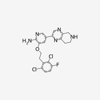 Nc1ncc(-c2cnc3c(n2)CCNC3)cc1OCCc1c(Cl)ccc(F)c1Cl